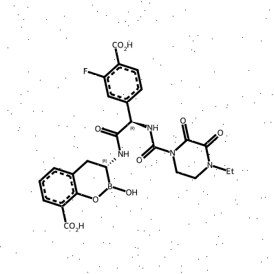 CCN1CCN(C(=O)N[C@@H](C(=O)N[C@H]2Cc3cccc(C(=O)O)c3OB2O)c2ccc(C(=O)O)c(F)c2)C(=O)C1=O